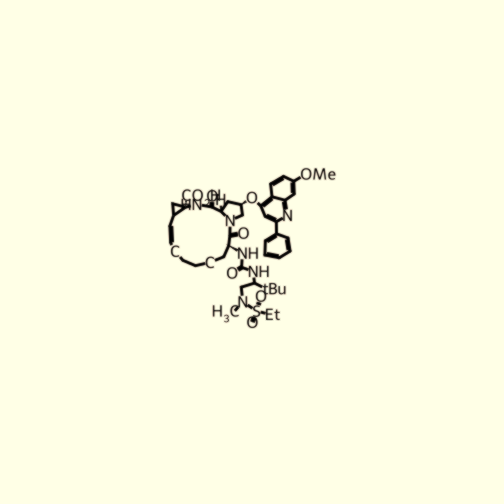 CCS(=O)(=O)N(C)CC(NC(=O)N[C@H]1CCCCC/C=C\C2C[C@@]2(C(=O)O)NC(=O)[C@@H]2C[C@@H](Oc3cc(-c4ccccc4)nc4cc(OC)ccc34)CN2C1=O)C(C)(C)C